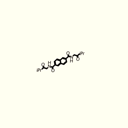 CC(C)C(=O)CNC(=O)c1ccc2cc(C(=O)NCC(=O)C(C)C)ccc2c1